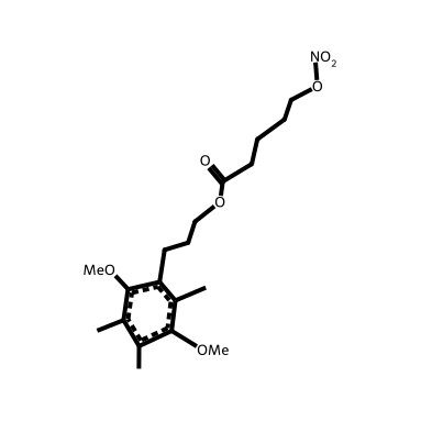 COc1c(C)c(C)c(OC)c(CCCOC(=O)CCCCO[N+](=O)[O-])c1C